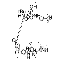 Cc1ncsc1-c1ccc(CNC(=O)[C@@H]2C[C@@H](O)CN2C(=O)[C@@H](NC(=O)CCCCCCCCCCC(=O)N2CCN(C(=O)c3ccc(Nc4nc(C5CC5)cn5c(-c6cn[nH]c6)cnc45)c(F)c3)CC2)C(C)(C)C)cc1